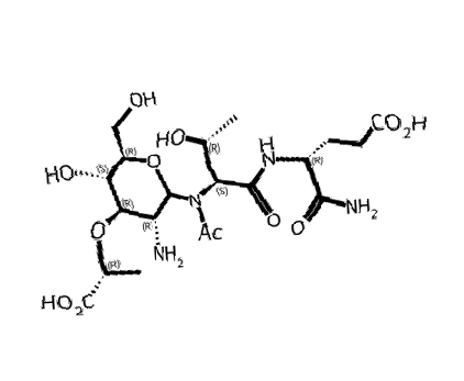 CC(=O)N(C1O[C@H](CO)[C@@H](O)[C@H](O[C@H](C)C(=O)O)[C@H]1N)[C@H](C(=O)N[C@H](CCC(=O)O)C(N)=O)[C@@H](C)O